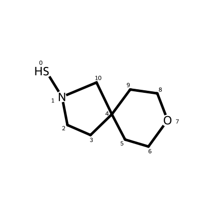 SN1CCC2(CCOCC2)C1